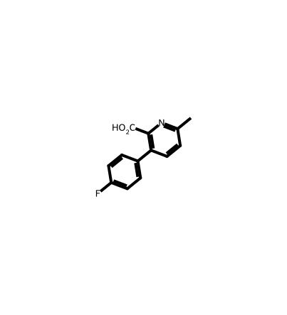 Cc1ccc(-c2ccc(F)cc2)c(C(=O)O)n1